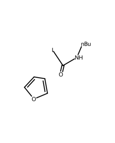 CCCCNC(=O)I.c1ccoc1